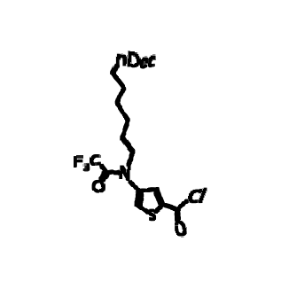 CCCCCCCCCCCCCCCCN(C(=O)C(F)(F)F)c1csc(C(=O)Cl)c1